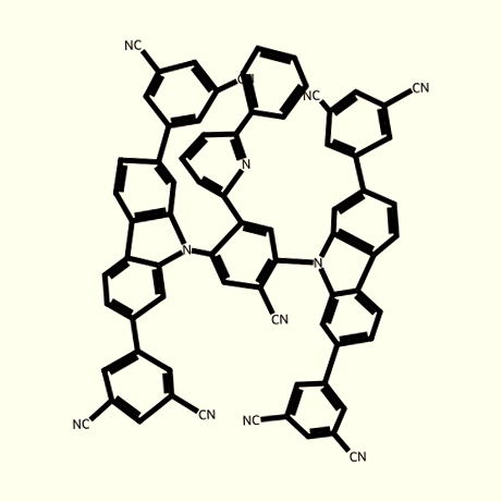 N#Cc1cc(C#N)cc(-c2ccc3c4ccc(-c5cc(C#N)cc(C#N)c5)cc4n(-c4cc(-c5cccc(-c6ccccc6)n5)c(-n5c6cc(-c7cc(C#N)cc(C#N)c7)ccc6c6ccc(-c7cc(C#N)cc(C#N)c7)cc65)cc4C#N)c3c2)c1